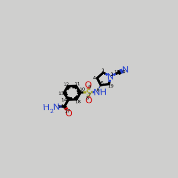 N#CN1CC[C@@H](NS(=O)(=O)c2cccc(C(N)=O)c2)C1